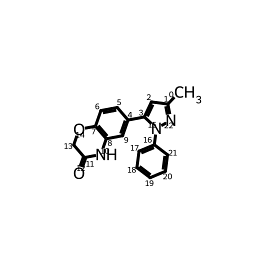 Cc1cc(-c2ccc3c(c2)NC(=O)CO3)n(-c2ccccc2)n1